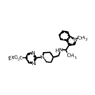 CCOC(=O)c1cnc(N2CCC(CNC(C)c3cn(C)c4ccccc34)CC2)nc1